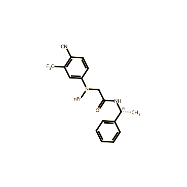 [C-]#[N+]c1ccc(N(CCC)CC(=O)N[C@H](C)c2ccccc2)cc1C(F)(F)F